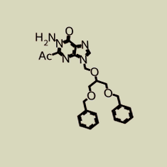 CC(=O)c1nc2c(ncn2COC(COCc2ccccc2)COCc2ccccc2)c(=O)n1N